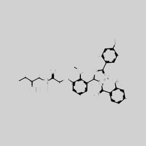 CCC(O)CNC(=O)COc1cccc(C2SC(c3ccc(F)cc3)=NN2C(=O)c2ccccc2O)c1OC